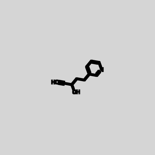 C#CC(O)CCc1cccnc1